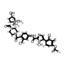 Cn1c(-c2ccc(OC(F)F)c(F)c2Cl)cnc1C(=O)Nc1ccc(C(=O)N2CCN(C(=O)[C@@H]3C[C@@H](O)C[N+]3(C)C)CC2)c(Cl)c1